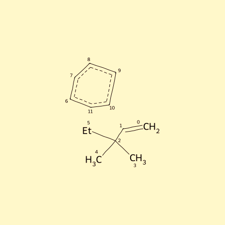 C=CC(C)(C)CC.c1ccccc1